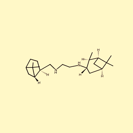 C[C@@H]1[C@@H](NCCNC[C@@H]2CCC3C[C@@H]2C3(C)C)C[C@H]2C[C@@H]1C2(C)C